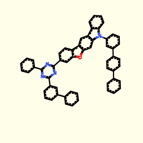 c1ccc(-c2ccc(-c3cccc(-n4c5ccccc5c5cc6c(cc54)oc4cc(-c5nc(-c7ccccc7)nc(-c7cccc(-c8ccccc8)c7)n5)ccc46)c3)cc2)cc1